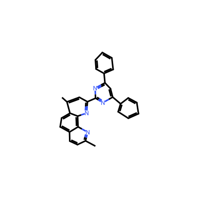 Cc1ccc2ccc3c(C)cc(-c4nc(-c5ccccc5)cc(-c5ccccc5)n4)nc3c2n1